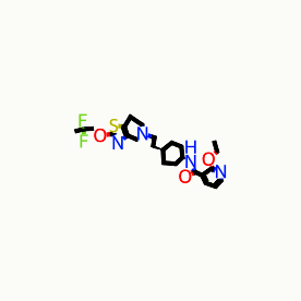 CCOc1ncccc1C(=O)N[C@H]1CC[C@H](CCN2CCc3sc(OCC(C)(F)F)nc3C2)CC1